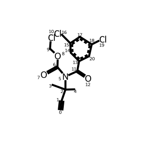 C#CC(C)(C)N(C(=O)OCCl)C(=O)c1cc(Cl)cc(Cl)c1